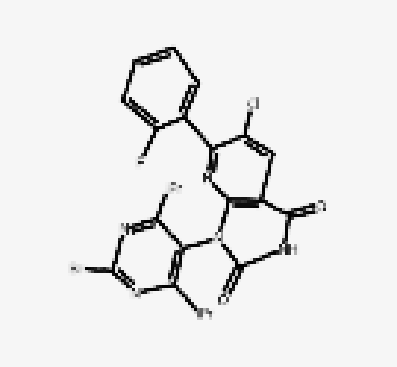 CC(C)c1nc(Br)nc(C(C)C)c1-n1c(=O)[nH]c(=O)c2cc(Cl)c(-c3ccccc3F)nc21